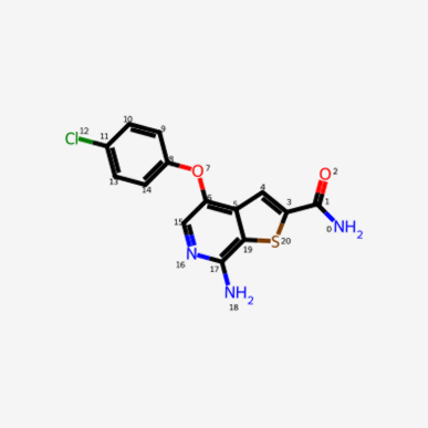 NC(=O)c1cc2c(Oc3ccc(Cl)cc3)cnc(N)c2s1